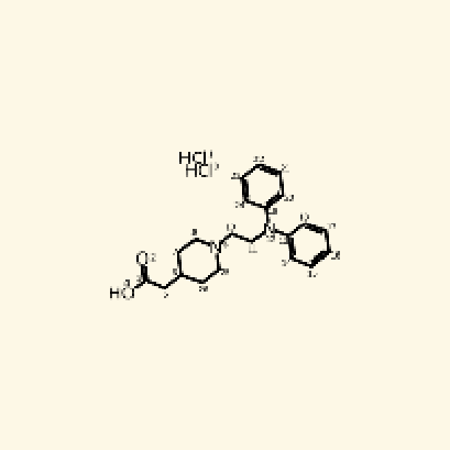 Cl.Cl.O=C(O)CC1CCN(CCN(c2ccccc2)c2ccccc2)CC1